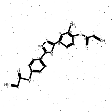 C=CC(=O)Oc1ccc(-c2nnc(-c3ccc(OC(=O)C=C)c(C)c3)o2)cc1